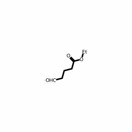 CCOC(=O)CCC[C]=O